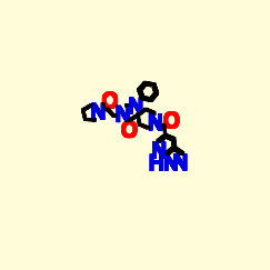 O=C(CN1CN(c2ccccc2)C2(CCN(C(=O)c3cnc4[nH]ncc4c3)CC2)C1=O)N1CCCC1